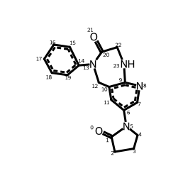 O=C1CCCN1c1cnc2c(c1)CN(c1ccccc1)C(=O)CN2